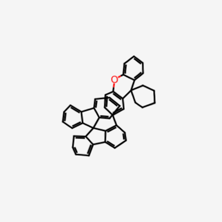 c1ccc2c(c1)Oc1ccc(-c3cccc4c3C3(c5ccccc5-c5ccccc53)c3ccccc3-4)cc1C21CCCCC1